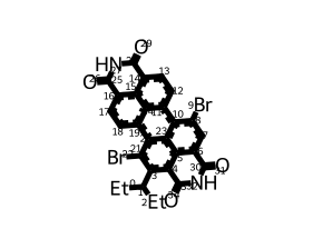 CCC(CC)c1c2c3c(cc(Br)c4c5ccc6c7c(ccc(c(c1Br)c34)c75)C(=O)NC6=O)C(=O)NC2=O